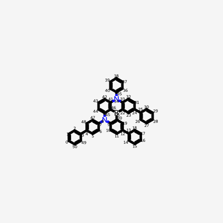 c1ccc(-c2ccc(N3c4ccc(-c5ccccc5)cc4B4c5cc(-c6ccccc6)ccc5N(c5ccccc5)c5cccc3c54)cc2)cc1